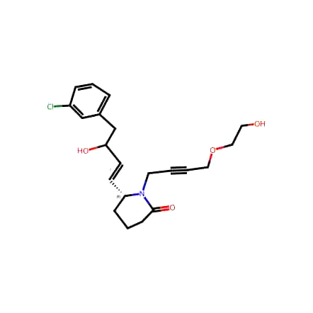 O=C1CCC[C@H](/C=C/C(O)Cc2cccc(Cl)c2)N1CC#CCOCCO